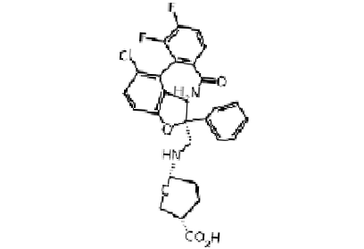 NC(=O)c1ccc(F)c(F)c1-c1c(Cl)ccc2c1C[C@@](CN[C@H]1CC[C@@H](C(=O)O)CC1)(c1ccccc1)O2